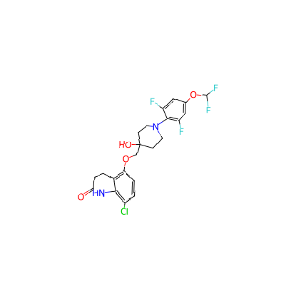 O=C1CCc2c(OCC3(O)CCN(c4c(F)cc(OC(F)F)cc4F)CC3)ccc(Cl)c2N1